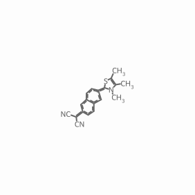 CC1=C(C)N(C)/C(=c2/ccc3cc(=C(C#N)C#N)ccc3c2)S1